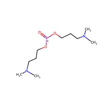 CN(C)CCCO[PH](=O)OCCCN(C)C